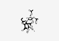 C=Cc1nc2c(=O)[nH]c(N)nc2n1[C@@H]1O[C@H](COC(C)=O)C(OC(C)=O)[C@@H]1OC(C)=O